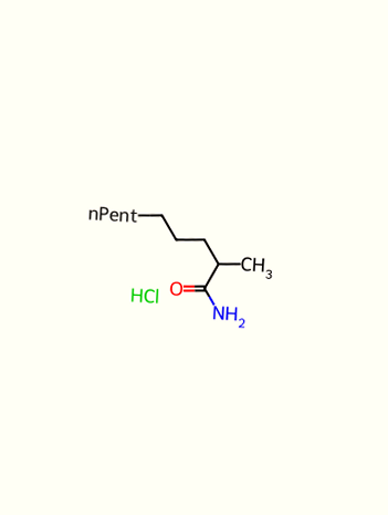 CCCCCCCCC(C)C(N)=O.Cl